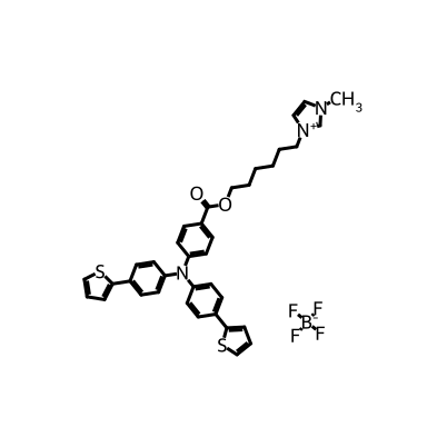 Cn1cc[n+](CCCCCCOC(=O)c2ccc(N(c3ccc(-c4cccs4)cc3)c3ccc(-c4cccs4)cc3)cc2)c1.F[B-](F)(F)F